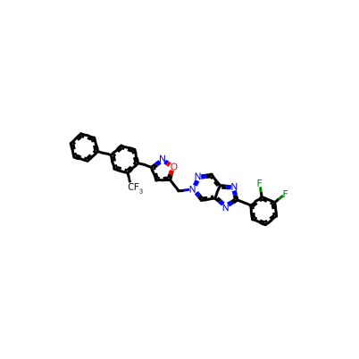 Fc1cccc(-c2nc3cnn(Cc4cc(-c5ccc(-c6ccccc6)cc5C(F)(F)F)no4)cc-3n2)c1F